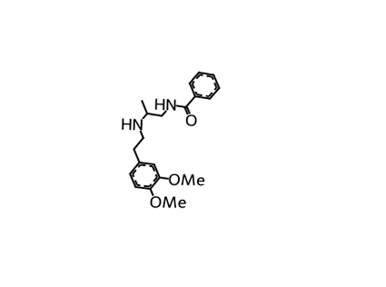 COc1ccc(CCNC(C)CNC(=O)c2ccccc2)cc1OC